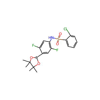 CC1(C)OB(c2cc(F)c(NS(=O)(=O)c3ccccc3Cl)cc2F)OC1(C)C